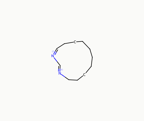 C1=N\C=N\CCCCCCCCC/1